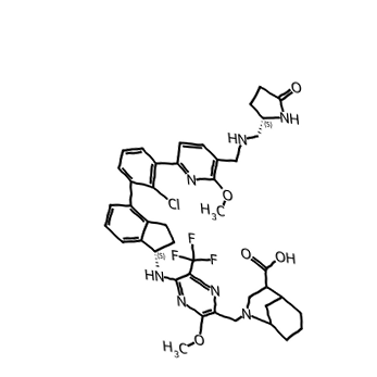 COc1nc(-c2cccc(-c3cccc4c3CC[C@@H]4Nc3nc(OC)c(CN4CC(C(=O)O)C5CCCC4C5)nc3C(F)(F)F)c2Cl)ccc1CNC[C@@H]1CCC(=O)N1